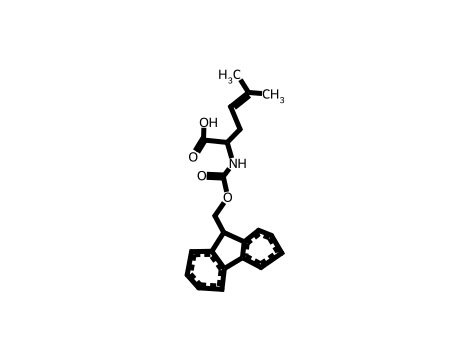 CC(C)=CCC(NC(=O)OCC1c2ccccc2-c2ccccc21)C(=O)O